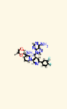 C[C@H]1COC[C@@H]([C@@]2(N)CCCN(c3cnc(-c4ccc(F)c(F)c4)cc3Cn3cnc4c(N)ncnc43)C2)O1